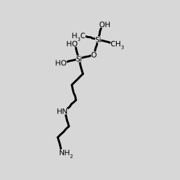 C[Si](C)(O)O[Si](O)(O)CCCNCCN